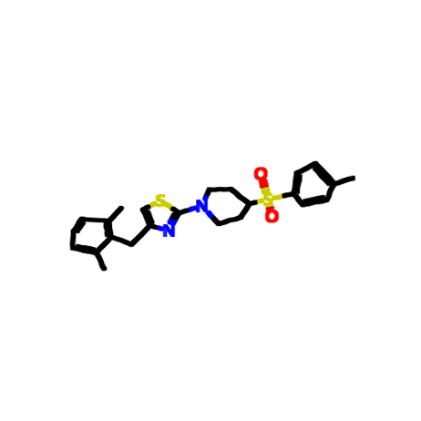 Cc1ccc(S(=O)(=O)C2CCN(c3nc(Cc4c(C)cccc4C)cs3)CC2)cc1